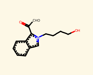 O=CC(=O)c1c2ccccc2cn1CCCCO